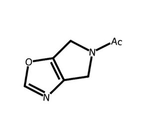 CC(=O)N1Cc2ncoc2C1